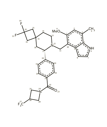 COc1cc(C)c2[nH]ccc2c1CN1CCC2(C[C@H]1c1ccc(C(=O)N3CC(C(F)(F)F)C3)cc1)CC(F)(F)C2